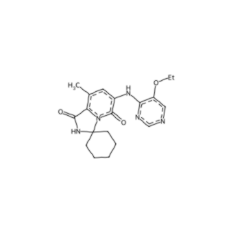 CCOc1cncnc1Nc1cc(C)c2n(c1=O)C1(CCCCC1)NC2=O